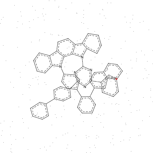 c1ccc(-c2ccc(-c3nc(-c4ccccc4)nc(-n4c5ccccc5c5ccc6c7ccccc7n(-c7ccc(-c8ccccc8-c8ccc9ccccc9c8)cc7)c6c54)n3)cc2)cc1